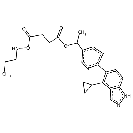 CCCNOC(=O)CCC(=O)OC(C)c1ccc(-c2ccc3[nH]ncc3c2C2CC2)nc1